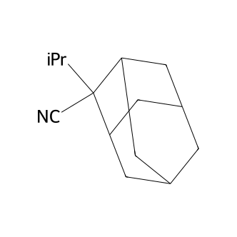 CC(C)C1(C#N)C2CC3CC(C2)CC1C3